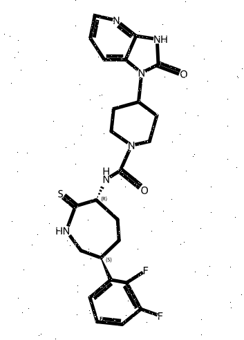 O=C(N[C@@H]1CC[C@@H](c2cccc(F)c2F)CNC1=S)N1CCC(n2c(=O)[nH]c3ncccc32)CC1